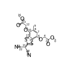 COC(=O)COc1cc(C)c(OCC(=O)OC)c2c1SC(=C(C#N)C#N)S2